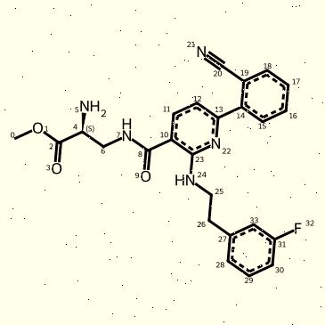 COC(=O)[C@@H](N)CNC(=O)c1ccc(-c2ccccc2C#N)nc1NCCc1cccc(F)c1